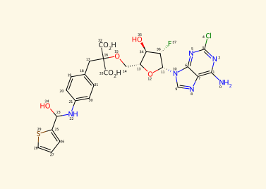 Nc1nc(Cl)nc2c1ncn2[C@@H]1O[C@H](COC(Cc2ccc(NC(O)c3cccs3)cc2)(C(=O)O)C(=O)O)[C@@H](O)[C@@H]1F